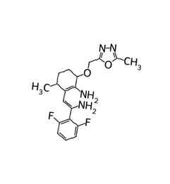 Cc1nnc(COC2CCC(C)C(/C=C(\N)c3c(F)cccc3F)=C2N)o1